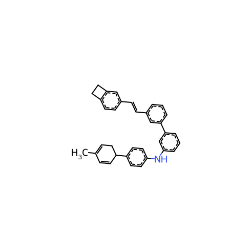 CC1=CCC(c2ccc(Nc3cccc(-c4cccc(/C=C/c5ccc6c(c5)CC6)c4)c3)cc2)C=C1